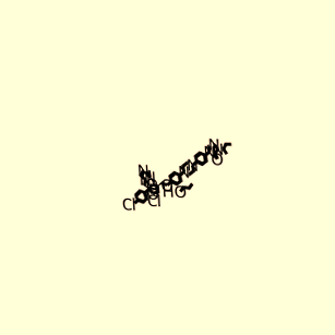 CCC(C)n1ncn(-c2ccc(N3CCN(c4ccc(OC[C@H]5CO[C@](Cn6cncn6)(c6ccc(Cl)cc6Cl)O5)cc4)CC3)cc2)c1=O.CCCO